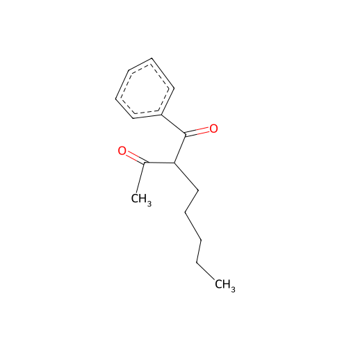 CCCCCC(C(C)=O)C(=O)c1ccccc1